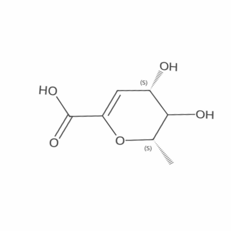 C[C@@H]1OC(C(=O)O)=C[C@H](O)C1O